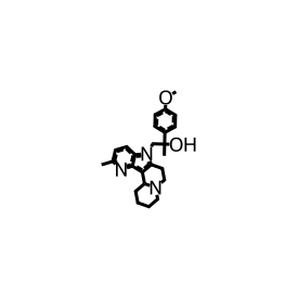 COc1ccc(C(C)(O)Cn2c3c(c4nc(C)ccc42)C2CCCCN2CC3)cc1